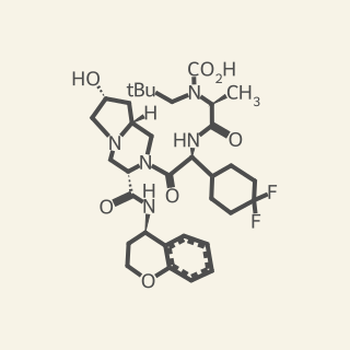 C[C@@H](C(=O)N[C@H](C(=O)N1C[C@H]2C[C@@H](O)CN2C[C@H]1C(=O)N[C@@H]1CCOc2ccccc21)C1CCC(F)(F)CC1)N(CC(C)(C)C)C(=O)O